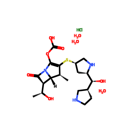 C[C@@H](O)[C@H]1C(=O)N2C(OC(=O)O)=C(S[C@@H]3CN[C@H]([C@H](O)[C@@H]4CCNC4)C3)[C@H](C)[C@H]12.Cl.O.O.O